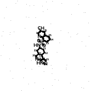 Cc1cnc2c(S(=O)(=O)NC3CCC4c5cn[nH]c5N=CC4C3)cccc2c1